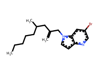 C=C(CC(C)CCCCC)Cn1ccc2ncc(Br)cc21